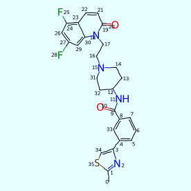 Cc1nc(-c2cccc(C(=O)NC3CCN(CCn4c(=O)ccc5c(F)cc(F)cc54)CC3)c2)cs1